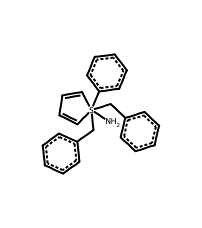 NS1(Cc2ccccc2)(Cc2ccccc2)(c2ccccc2)C=CC=C1